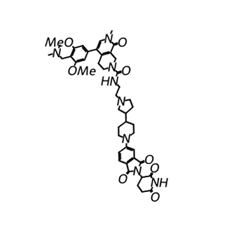 COc1cc(-c2cn(C)c(=O)c3c2CCN(C(=O)NCCN2CCC(C4CCN(c5ccc6c(c5)C(=O)N(C5CCC(=O)NC5=O)C6=O)CC4)C2)C3)cc(OC)c1CN(C)C